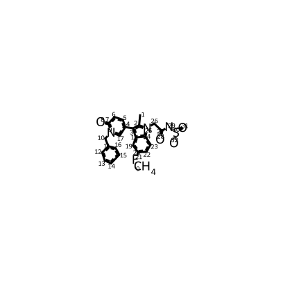 C.Cc1c(-c2ccc(=O)n(Cc3ccccc3)c2)c2cc(F)ccc2n1CC(=O)N=S(=O)=O